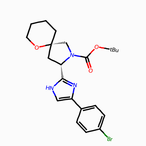 CC(C)(C)OC(=O)N1C[C@]2(CCCCO2)C[C@H]1c1nc(-c2ccc(Br)cc2)c[nH]1